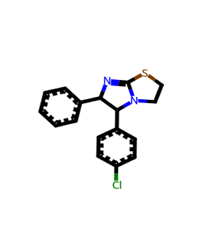 Clc1ccc(C2C(c3ccccc3)N=C3SCCN32)cc1